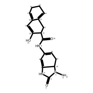 NN1C(=O)NC2=CC(NC(=O)C3CC4=CCCC=C4C=C3O)=CCC21